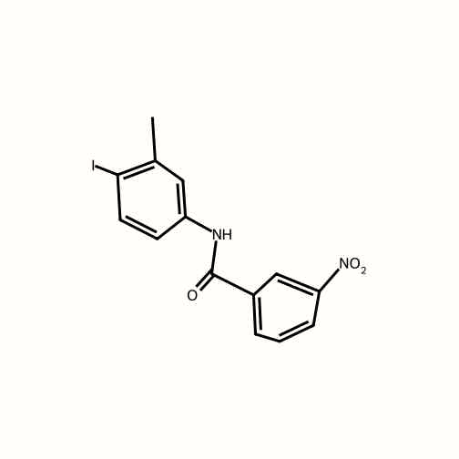 Cc1cc(NC(=O)c2cccc([N+](=O)[O-])c2)ccc1I